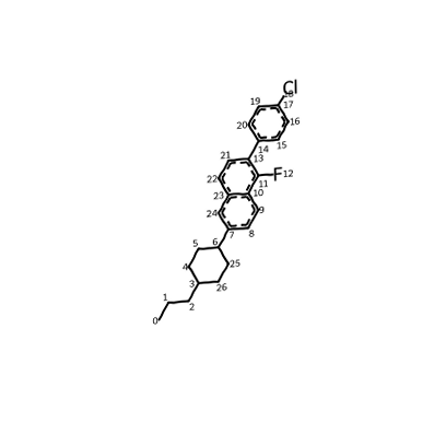 CCCC1CCC(c2ccc3c(F)c(-c4ccc(Cl)cc4)ccc3c2)CC1